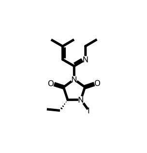 CC/N=C(\C=C(C)C)N1C(=O)[C@@H](CC)N(I)C1=O